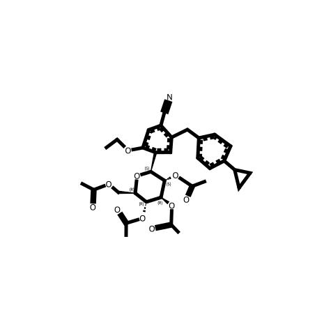 CCOc1cc(C#N)c(Cc2ccc(C3CC3)cc2)cc1[C@@H]1O[C@H](COC(C)=O)[C@@H](OC(C)=O)[C@H](OC(C)=O)[C@H]1OC(C)=O